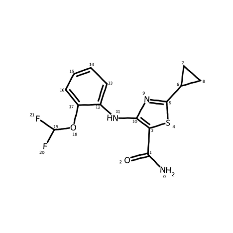 NC(=O)c1sc(C2CC2)nc1Nc1ccccc1OC(F)F